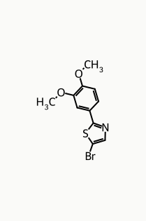 COc1ccc(-c2ncc(Br)s2)cc1OC